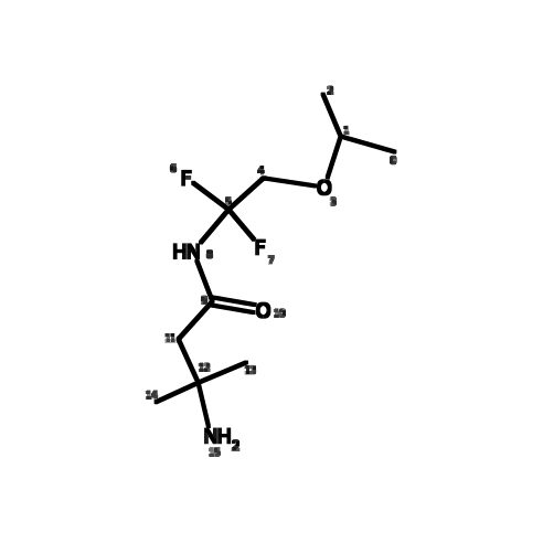 CC(C)OCC(F)(F)NC(=O)CC(C)(C)N